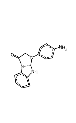 Nc1ccc(N2CC(=O)N3c4ccccc4NC23)cc1